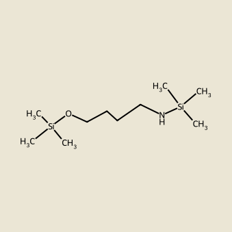 C[Si](C)(C)NCCCCO[Si](C)(C)C